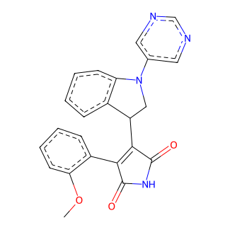 COc1ccccc1C1=C(C2CN(c3cncnc3)c3ccccc32)C(=O)NC1=O